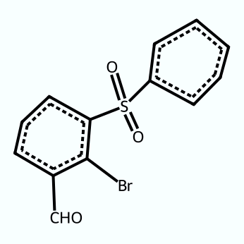 O=Cc1cccc(S(=O)(=O)c2ccccc2)c1Br